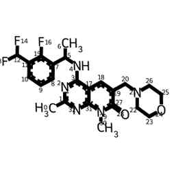 Cc1nc(NC(C)c2cccc(C(F)F)c2F)c2cc(CN3CCOCC3)c(=O)n(C)c2n1